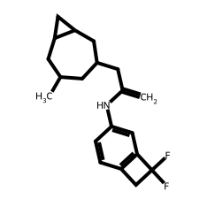 C=C(CC1CC(C)CC2CC2C1)Nc1ccc2c(c1)C(F)(F)C2